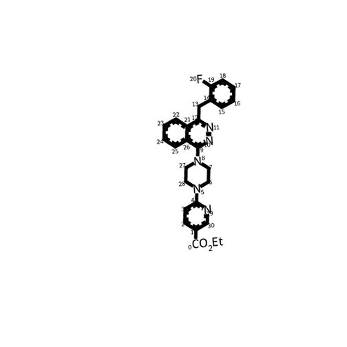 CCOC(=O)c1ccc(N2CCN(c3nnc(Cc4ccccc4F)c4ccccc34)CC2)nc1